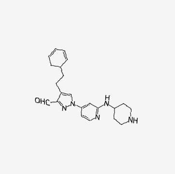 O=Cc1nn(-c2ccnc(NC3CCNCC3)c2)cc1CCC1C=CC=CC1